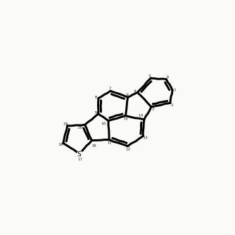 c1ccc2c(c1)-c1ccc3c4c(ccc-2c14)-c1sccc1-3